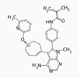 C=C(C)C(=O)Nc1ccc(-c2c(C3=CCC[C@@H](Oc4cccc(C)n4)CC3)c3c(N)ncnc3n2C)cc1